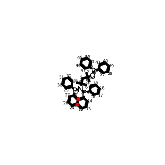 CC(C)(CC(C)(C)N(P(c1ccccc1)c1ccccc1)P(c1ccccc1)c1ccccc1)OP(c1ccccc1)c1ccccc1